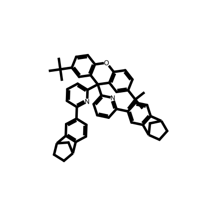 CC(C)(C)c1ccc2c(c1)C(c1cccc(-c3ccc4c(c3)C3CCC4C3)n1)(c1cccc(-c3ccc4c(c3)C3CCC4C3)n1)c1cc(C(C)(C)C)ccc1O2